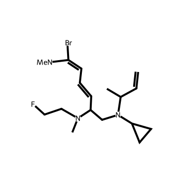 C=CC(C)N(CC(C=C/C=C(/Br)NC)N(C)CCF)C1CC1